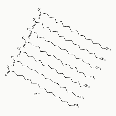 CCCCCCCCCCCCCCCCCC(=O)[O-].CCCCCCCCCCCCCCCCCC(=O)[O-].CCCCCCCCCCCCCCCCCC(=O)[O-].CCCCCCCCCCCCCCCCCC(=O)[O-].CCCCCCCCCCCCCCCCCC(=O)[O-].CCCCCCCCCCCCCCCCCC(=O)[O-].CCCCCCCCCCCCCCCCCC(=O)[O-].[Re+7]